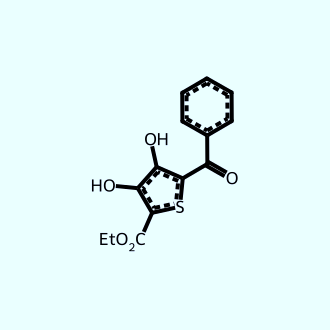 CCOC(=O)c1sc(C(=O)c2ccccc2)c(O)c1O